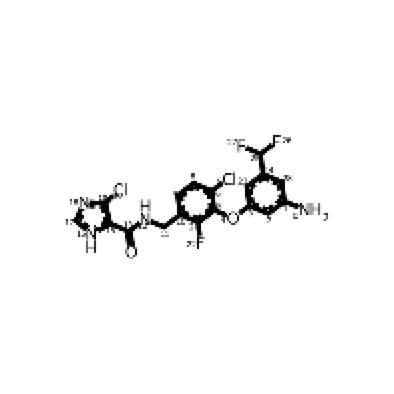 Nc1cc(Oc2c(Cl)ccc(CNC(=O)c3[nH]cnc3Cl)c2F)cc(C(F)F)c1